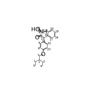 CCC(CC)COc1ccc(C(C(=O)NO)c2ccccc2)cc1